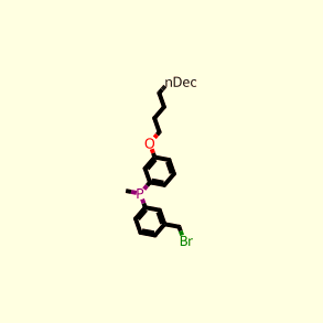 CCCCCCCCCCCCCCOc1cccc(P(C)c2cccc(CBr)c2)c1